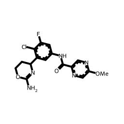 COc1cnc(C(=O)Nc2cc(F)c(Cl)c(C3CCOC(N)=N3)c2)cn1